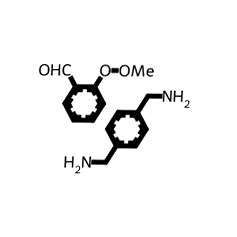 COOc1ccccc1C=O.NCc1ccc(CN)cc1